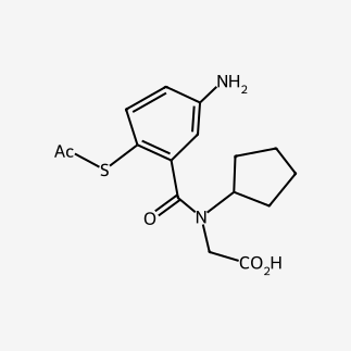 CC(=O)Sc1ccc(N)cc1C(=O)N(CC(=O)O)C1CCCC1